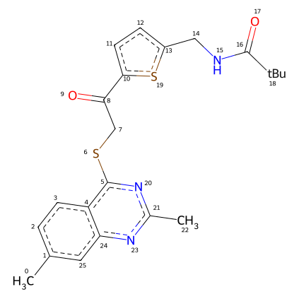 Cc1ccc2c(SCC(=O)c3ccc(CNC(=O)C(C)(C)C)s3)nc(C)nc2c1